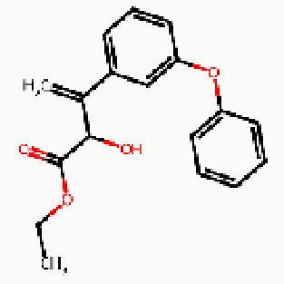 C=C(c1cccc(Oc2ccccc2)c1)C(O)C(=O)OCC